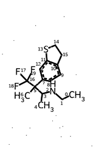 CCNC(C)C(C)(c1ccc2c(c1)SCC2)C(F)(F)F